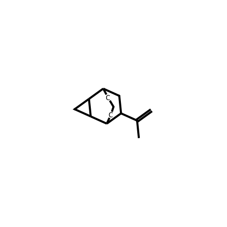 C=C(C)C1CC2CCCC1C1CC21